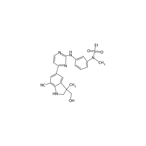 CCS(=O)(=O)N(C)c1cccc(Nc2nccc(-c3cc(C#N)c4c(c3)C(C)(CO)CN4)n2)c1